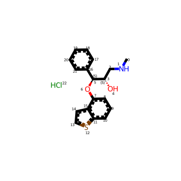 CNC[C@H](O)[C@@H](Oc1cccc2sccc12)c1ccccc1.Cl